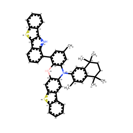 Cc1cc(-c2cccc3c2[nH]c2c4ccccc4sc32)c2c(c1)N(c1cc3c(cc1C)C(C)(C)CCC3(C)C)c1cc3c(cc1B2)sc1ccccc13